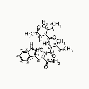 CC[C@H](C)[C@H](NC(C)=O)C(=O)N[C@H](C(=O)N(O)[C@@H](Cc1c[nH]c2ccccc12)C(N)=O)[C@@H](C)CC